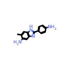 Cc1cc2[nH]c(-c3ccc(N)cc3)nc2cc1N